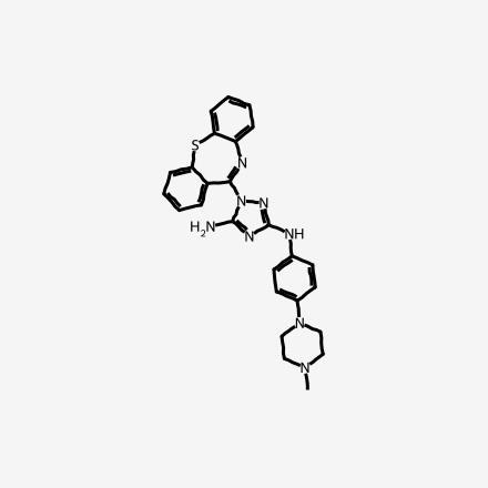 CN1CCN(c2ccc(Nc3nc(N)n(C4=Nc5ccccc5Sc5ccccc54)n3)cc2)CC1